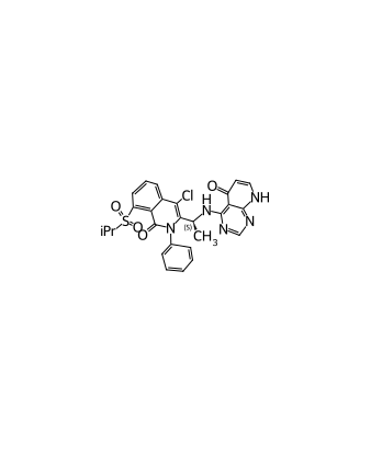 CC(C)S(=O)(=O)c1cccc2c(Cl)c([C@H](C)Nc3ncnc4[nH]ccc(=O)c34)n(-c3ccccc3)c(=O)c12